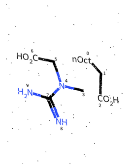 CCCCCCCCCC(=O)O.CN(CC(=O)O)C(=N)N